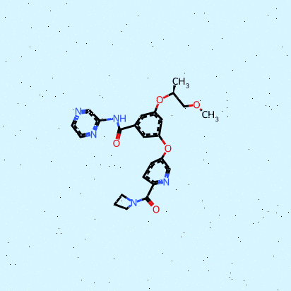 COC[C@H](C)Oc1cc(Oc2ccc(C(=O)N3CCC3)nc2)cc(C(=O)Nc2cnccn2)c1